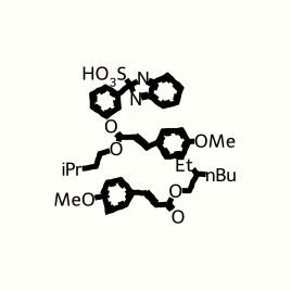 CCCCC(CC)COC(=O)C=Cc1ccc(OC)cc1.COc1ccc(C=CC(=O)OCCC(C)C)cc1.O=S(=O)(O)C1(c2ccccc2)N=c2ccccc2=N1